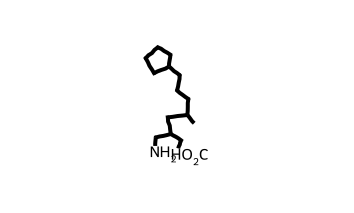 CC(CCCC1CCCC1)CC(CN)CC(=O)O